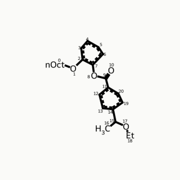 CCCCCCCCOc1ccccc1OC(=O)c1ccc(C(C)OCC)cc1